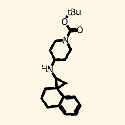 CC(C)(C)OC(=O)N1CCC(NC2CC23CCCc2ccccc23)CC1